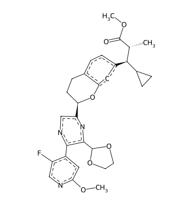 COC(=O)[C@H](C)[C@H](c1ccc2c(c1)O[C@@H](c1cnc(-c3cc(OC)ncc3F)c(C3OCCO3)n1)CC2)C1CC1